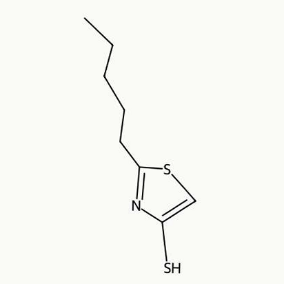 CCCCCc1nc(S)cs1